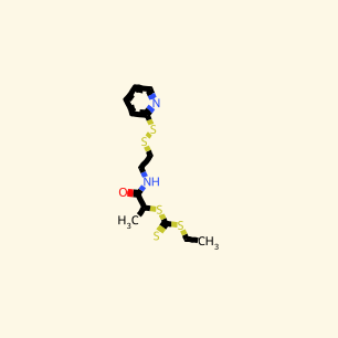 CCSC(=S)SC(C)C(=O)NCCSSc1ccccn1